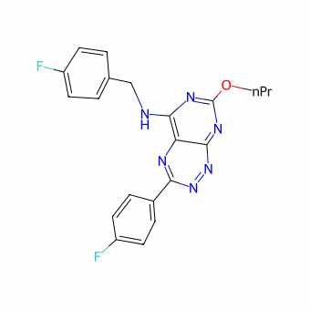 CCCOc1nc(NCc2ccc(F)cc2)c2nc(-c3ccc(F)cc3)nnc2n1